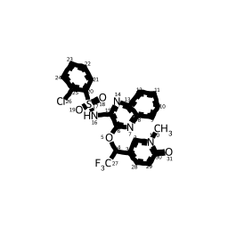 Cn1cc(C(Oc2nc3ccccc3nc2NS(=O)(=O)c2ccccc2Cl)C(F)(F)F)ccc1=O